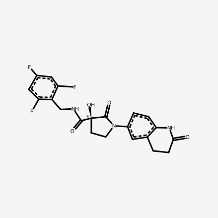 O=C1CCc2cc(N3CC[C@](O)(C(=O)NCc4c(F)cc(F)cc4F)C3=O)ccc2N1